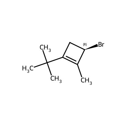 CC1=C(C(C)(C)C)C[C@H]1Br